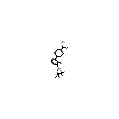 CCc1c(B2OC(C)(C)C(C)(C)O2)cccc1C1CCN(C(=O)OC(C)(C)C)CC1